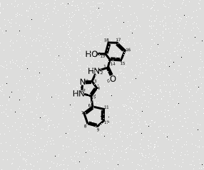 O=C(Nc1cc(-c2ccccc2)[nH]n1)c1ccccc1O